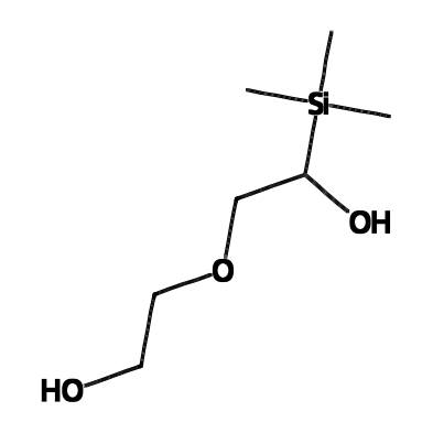 C[Si](C)(C)C(O)COCCO